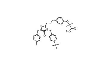 Cc1ccc(Cn2nc(CCCc3ccc(OC(C)(C)C(=O)O)cc3)n(Cc3ccc(C(C)(C)C)cc3)c2=O)cc1